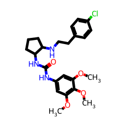 COc1cc(NC(=O)NC2CCCC2NCCc2ccc(Cl)cc2)cc(OC)c1OC